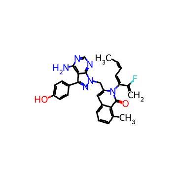 C=C(F)/C(=C\C=C/C)n1c(Cn2nc(-c3ccc(O)cc3)c3c(N)ncnc32)cc2cccc(C)c2c1=O